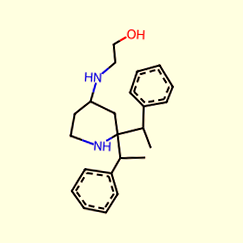 CC(c1ccccc1)C1(C(C)c2ccccc2)CC(NCCO)CCN1